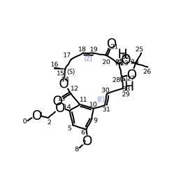 COCOc1cc(OC)cc2c1C(=O)O[C@@H](C)C/C=C\C(=O)[C@H]1OC(C)(C)O[C@H]1C/C=C/2